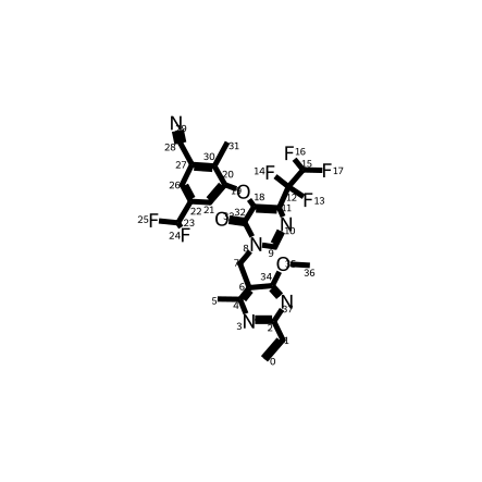 C=Cc1nc(C)c(Cn2cnc(C(F)(F)C(F)F)c(Oc3cc(C(F)F)cc(C#N)c3C)c2=O)c(OC)n1